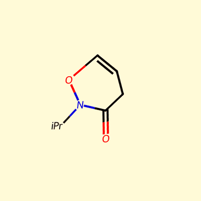 CC(C)N1OC=CCC1=O